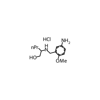 CCCC(CO)NCc1cc(N)ccc1OC.Cl